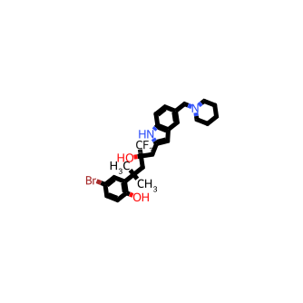 CC(C)(CC(O)(Cc1cc2cc(CN3CCCCC3)ccc2[nH]1)C(F)(F)F)c1cc(Br)ccc1O